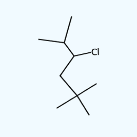 CC(C)C(Cl)CC(C)(C)C